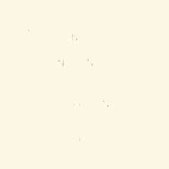 C[C@@H]1CN(C(=O)OC(C)(C)C)[C@H](CNc2ncc(C(F)(F)F)cn2)[C@H](C)O1